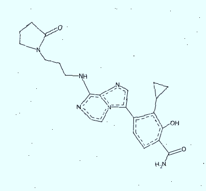 NC(=O)c1ccc(-c2cnc3c(NCCCN4CCCC4=O)nccn23)c(C2CC2)c1O